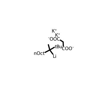 O=C([O-])CC(=O)[O-].[K+].[K+].[Li][C](C)(CCCCCCCC)C(C)(C)C